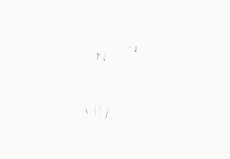 CCCCc1cc2cccnc2c2ncccc12